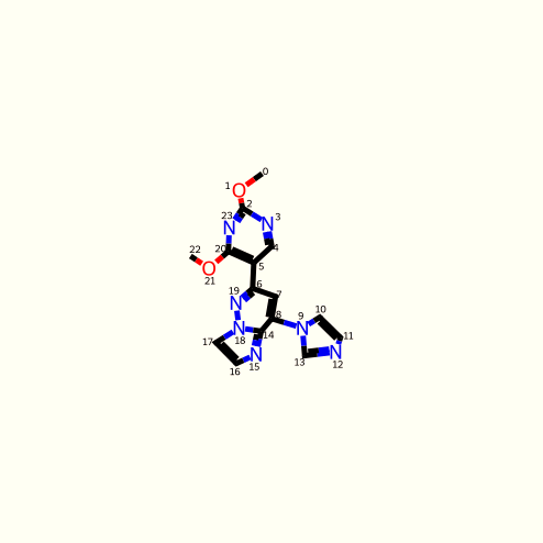 COc1ncc(-c2cc(-n3ccnc3)c3nccn3n2)c(OC)n1